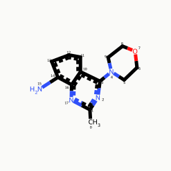 Cc1nc(N2CCOCC2)c2cccc(N)c2n1